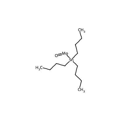 CCC[CH2][Sn]([CH2]CCC)([CH2]CCC)[Mo]=[O]